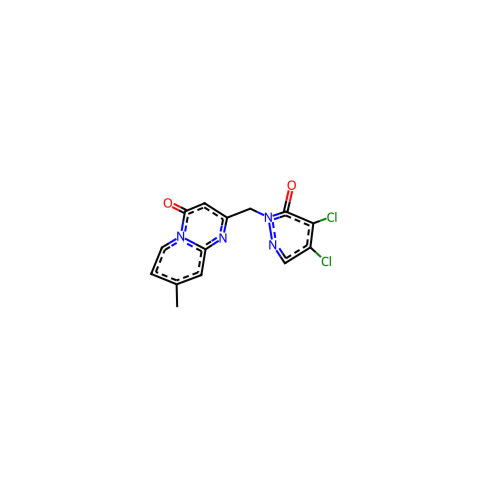 Cc1ccn2c(=O)cc(Cn3ncc(Cl)c(Cl)c3=O)nc2c1